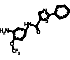 Nc1cc(NC(=O)c2cnc(-c3ccccc3)s2)ccc1OC(F)(F)F